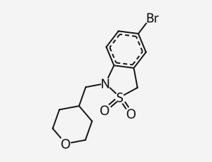 O=S1(=O)Cc2cc(Br)ccc2N1CC1CCOCC1